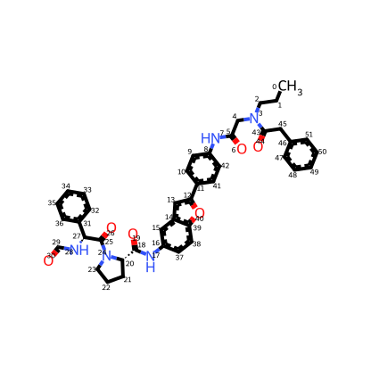 CCCN(CC(=O)Nc1ccc(-c2cc3cc(NC(=O)[C@@H]4CCCN4C(=O)[C@H](NC=O)c4ccccc4)ccc3o2)cc1)C(=O)Cc1ccccc1